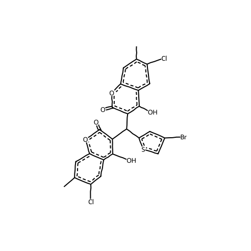 Cc1cc2oc(=O)c(C(c3cc(Br)cs3)c3c(O)c4cc(Cl)c(C)cc4oc3=O)c(O)c2cc1Cl